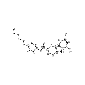 CCCCCCc1ccc(CN(C)C2CCc3[nH]c4c(F)cc(F)cc4c3C2)cc1